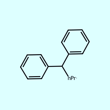 CC[CH]C(c1ccccc1)c1ccccc1